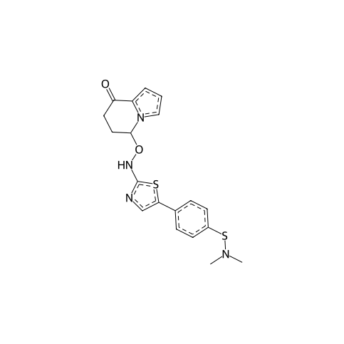 CN(C)Sc1ccc(-c2cnc(NOC3CCC(=O)c4cccn43)s2)cc1